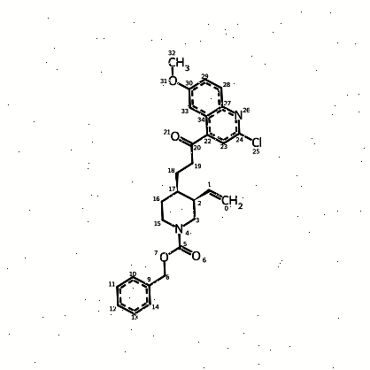 C=C[C@H]1CN(C(=O)OCc2ccccc2)CC[C@H]1CCC(=O)c1cc(Cl)nc2ccc(OC)cc12